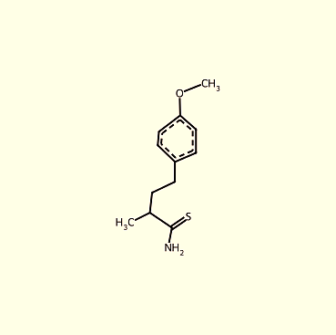 COc1ccc(CCC(C)C(N)=S)cc1